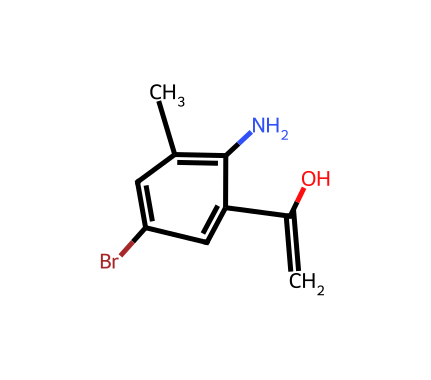 C=C(O)c1cc(Br)cc(C)c1N